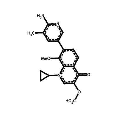 COc1c(-c2cnc(N)c(C)c2)ccc2c(=O)c(OC(=O)O)cn(C3CC3)c12